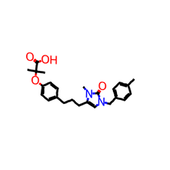 Cc1ccc(Cn2cc(CCCc3ccc(OC(C)(C)C(=O)O)cc3)n(C)c2=O)cc1